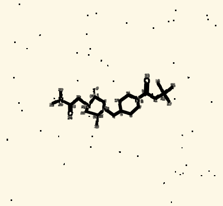 C[C@@H]1CN(CC2CCN(C(=O)CC(C)(C)C)CC2)[C@@H](C)CN1CC(=O)N(C)C